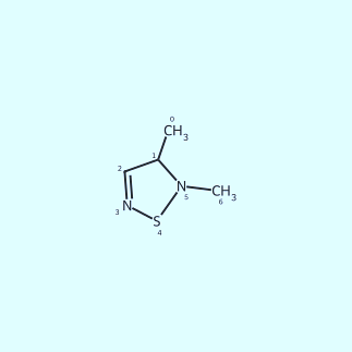 CC1C=NSN1C